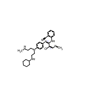 C=N/C=C(Cl)\C(=N/c1ccc(N(CCNC)CCNC2CCCCC2)cc1)Nc1ccccc1C#N